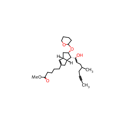 CC#CCC(C)CC=C(O)[C@@H]1[C@@H]2CC(CCCCC(=O)OC)=C[C@@H]2C[C@H]1OC1CCCCO1